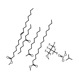 CCCCCC(=O)CCCCC.CCCCCCCC/C=C/CCCCCCCC(=O)OC.CCCCCCCCCC(C)=O.CCCCCCCCCCCCCCCC(=O)OC.COC(F)(F)C(F)(C(F)(F)F)C(F)(F)F.CO[N+](=O)[O-].[CH2]C(C)C